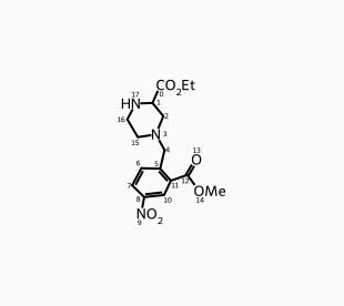 CCOC(=O)C1CN(Cc2ccc([N+](=O)[O-])cc2C(=O)OC)CCN1